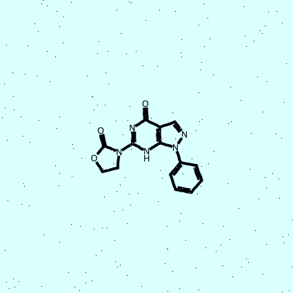 O=C1OCCN1c1nc(=O)c2cnn(-c3ccccc3)c2[nH]1